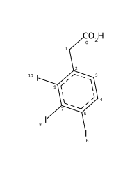 O=C(O)Cc1ccc(I)c(I)c1I